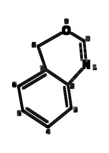 C1=Nc2ccccc2CO1